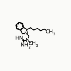 CCCCCCC1c2ccccc2CN1CN(C)C(=N)N